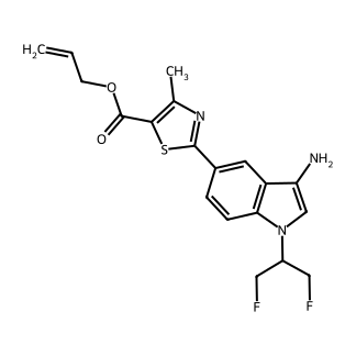 C=CCOC(=O)c1sc(-c2ccc3c(c2)c(N)cn3C(CF)CF)nc1C